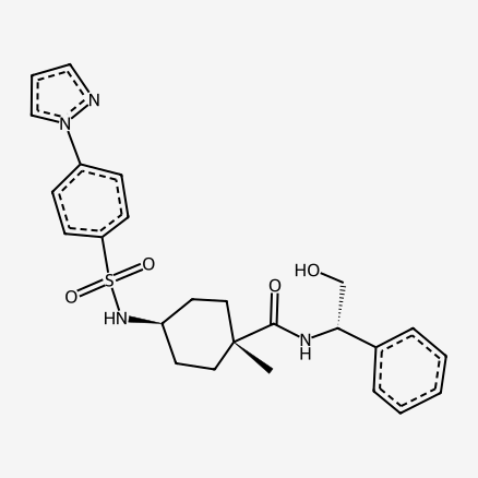 C[C@]1(C(=O)N[C@H](CO)c2ccccc2)CC[C@H](NS(=O)(=O)c2ccc(-n3cccn3)cc2)CC1